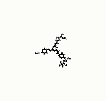 COc1ccc(C=Cc2cc(C=Cc3ccc(OC)cc3)nc(OCCCNC(=N)N)n2)cc1.O=C(O)C(F)(F)F